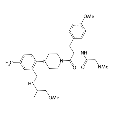 CNCC(=O)NC(Cc1ccc(OC)cc1)C(=O)N1CCN(c2ccc(C(F)(F)F)cc2CNC(C)COC)CC1